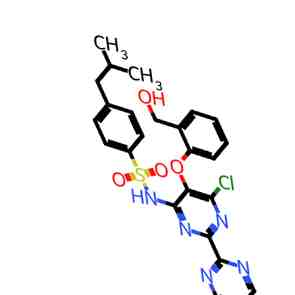 CC(C)Cc1ccc(S(=O)(=O)Nc2nc(-c3ncccn3)nc(Cl)c2Oc2ccccc2CO)cc1